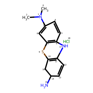 CN(C)c1ccc2c(c1)SC1=C(C=CC(N)C1)N2.Cl